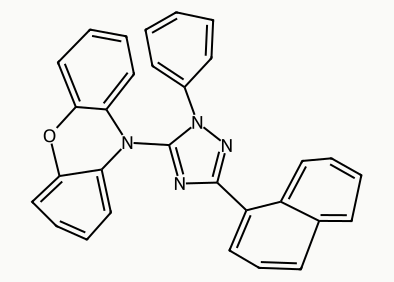 c1ccc(-n2nc(-c3cccc4ccccc34)nc2N2c3ccccc3Oc3ccccc32)cc1